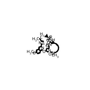 COc1ccc2c(OC3CC4C(=O)NC5(C(=O)NS(=O)(=O)C6CC6)CC5/C=C\CCCCN(C)C(=O)N4C3)nc(-c3nc(C(C)C)cs3)cc2c1